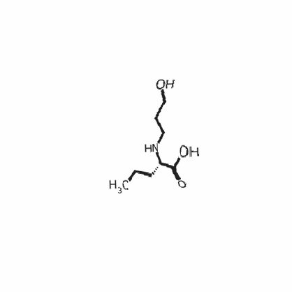 CCC[C@H](NCCCO)C(=O)O